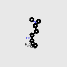 CC1(C)c2ccccc2-c2cc3c(cc21)[nH]c1ccc(-c2cccc(-c4ccc5c(c4)c4ccccc4n5C4C=CCCC4)c2)cc13